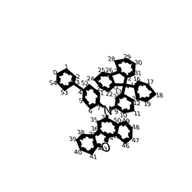 c1ccc(-c2ccc(N(c3cccc(C4(c5ccccc5)c5ccccc5-c5ccccc54)c3)c3cc4c5ccccc5oc4c4ccccc34)cc2)cc1